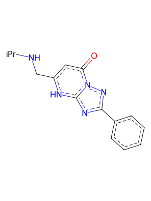 CC(C)NCc1cc(=O)n2nc(-c3ccccc3)nc2[nH]1